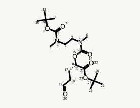 CN(CCN(C)C(=O)OC(C)(C)C)C(=O)O[C@@H](CCC=O)C(=O)OC(C)(C)C